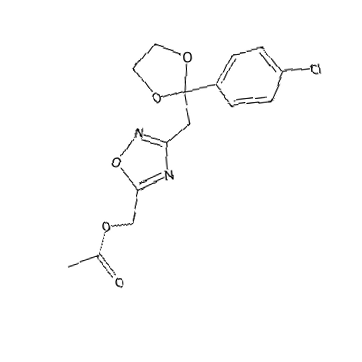 CC(=O)OCc1nc(CC2(c3ccc(Cl)cc3)OCCO2)no1